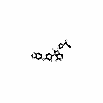 C#CC(=O)N1CC[C@@H](n2c(=O)n(-c3ccc(Oc4ccc5c(c4)OCO5)cc3)c3c(N)nccc32)C1